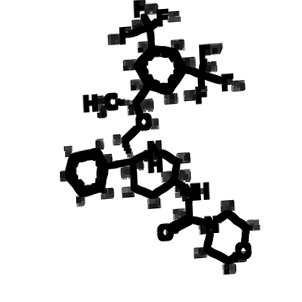 C[C@@H](OC[C@@]1(c2ccccc2)CC[C@H](NC(=O)N2CCOCC2)CN1)c1cc(C(F)(F)F)cc(C(F)(F)F)c1